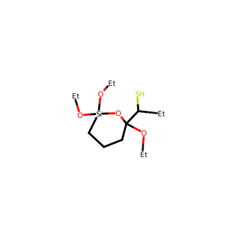 CCOC1(C(S)CC)CCC[Si](OCC)(OCC)O1